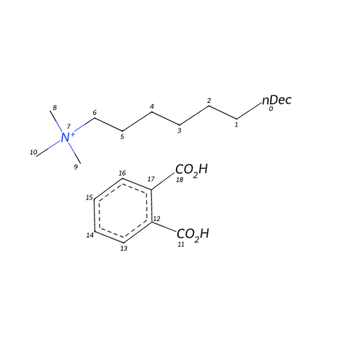 CCCCCCCCCCCCCCCC[N+](C)(C)C.O=C(O)c1ccccc1C(=O)O